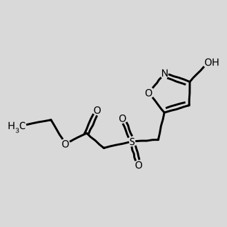 CCOC(=O)CS(=O)(=O)Cc1cc(O)no1